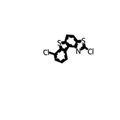 Clc1nc2c(ccc3sc4c(Cl)cccc4c32)s1